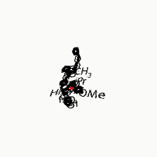 COc1ccc(S(=O)(=O)N(CC(C)C)C[C@@H](O)[C@H](Cc2ccc(OCP(=O)(Oc3ccccc3)O[C@@H](C)C(=O)OCCOCc3ccccc3)cc2)NC(=O)O[C@H]2CO[C@H]3OCC[C@H]32)cc1